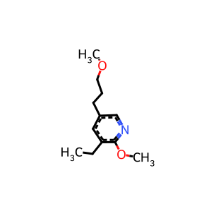 CCc1cc(CCCOC)cnc1OC